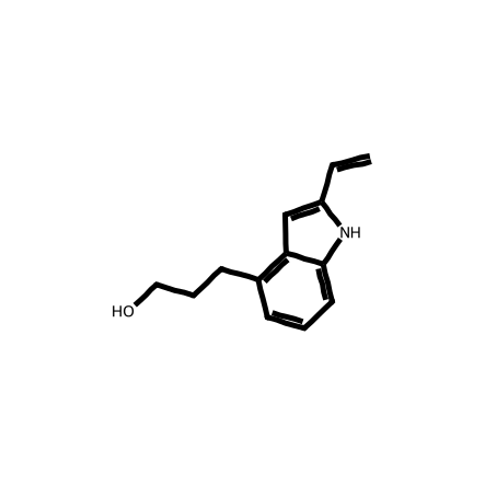 C=Cc1cc2c(CCCO)cccc2[nH]1